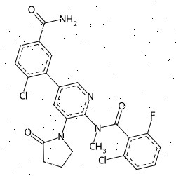 CN(C(=O)c1c(F)cccc1Cl)c1ncc(-c2cc(C(N)=O)ccc2Cl)cc1N1CCCC1=O